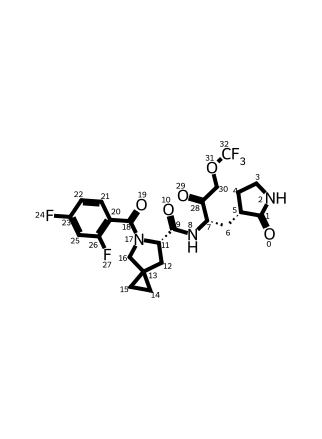 O=C1NCC[C@H]1C[C@H](NC(=O)[C@@H]1CC2(CC2)CN1C(=O)c1ccc(F)cc1F)C(=O)COC(F)(F)F